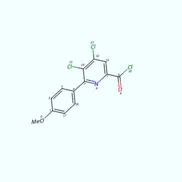 COc1ccc(-c2nc(C(=O)Cl)cc(Cl)c2Cl)cc1